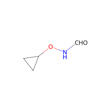 O=CNOC1CC1